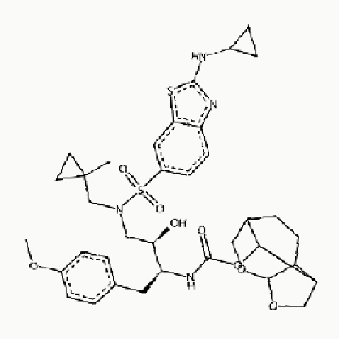 COc1ccc(C[C@H](NC(=O)OC2C3CCC4C(OC3)OCC42)[C@H](O)CN(CC2(C)CC2)S(=O)(=O)c2ccc3nc(NC4CC4)sc3c2)cc1